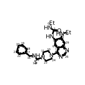 CCNC(=O)Nc1cc2c(N3CCN(C(=S)NCc4ccccc4)CC3)ncnc2cc1NCC